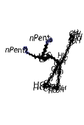 CCCCC/C=C\C/C=C\CCCCCCCCC1(CCCCCCCC/C=C\C/C=C\CCCCC)OC[C@H](CN(C)CCCCCC(=O)NC(COCCC(=O)NCCOCCOCCO[C@@H]2OCC(CO)[C@@H](O)C(O)C2O)(COCCC(=O)NCCOCCOCCO[C@@H]2OC(CO)[C@@H](O)C(O)C2O)COCCC(=O)NCCOCCOCCO[C@@H]2OC(CO)[C@@H](O)C(O)C2O)O1